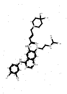 O=C(/C=C/CN1CCC(F)(F)CC1)Nc1cc2c(Nc3ccc(F)c(Cl)c3)ncnc2cc1OCCOC(F)F